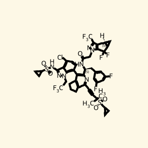 CC(C)(C#Cc1nc([C@H](Cc2cc(F)cc(F)c2)NC(=O)Cn2nc(C(F)(F)F)c3c2C(F)(F)C2C[C@H]32)c(-c2ccc(Cl)c3c(NS(=O)(=O)C4CC4)nn(CC(F)(F)F)c23)c2c1CCC2)S(=O)(=O)C1CC1